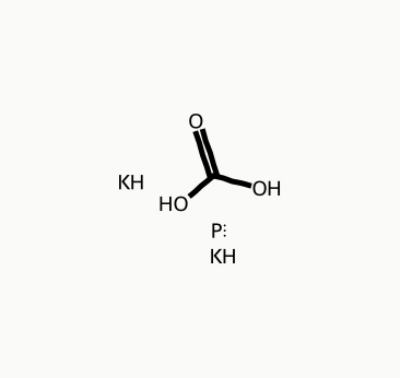 O=C(O)O.[KH].[KH].[P]